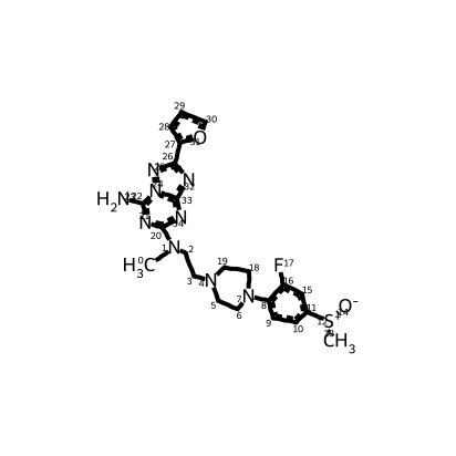 CN(CCN1CCN(c2ccc([S@@+](C)[O-])cc2F)CC1)c1nc(N)n2nc(-c3ccco3)nc2n1